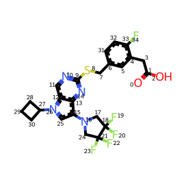 O=C(O)Cc1cc(CSc2ncc3c(n2)c(N2CC(F)(F)C(F)(F)C2)cn3C2CCC2)ccc1F